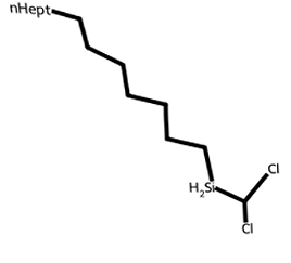 CCCCCCCCCCCCCC[SiH2]C(Cl)Cl